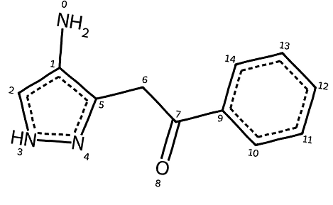 Nc1c[nH]nc1CC(=O)c1ccccc1